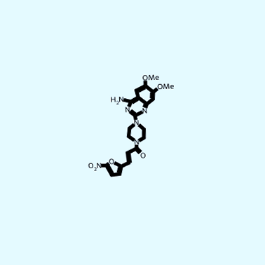 COc1cc2nc(N3CCN(C(=O)C=Cc4ccc([N+](=O)[O-])o4)CC3)nc(N)c2cc1OC